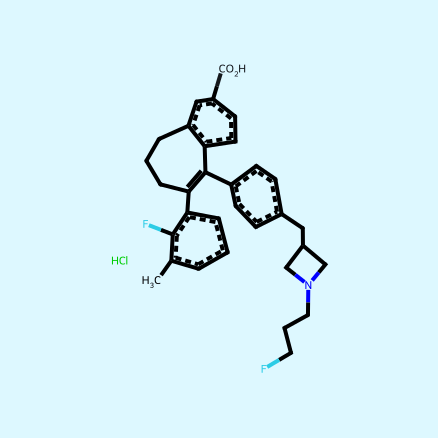 Cc1cccc(C2=C(c3ccc(CC4CN(CCCF)C4)cc3)c3ccc(C(=O)O)cc3CCC2)c1F.Cl